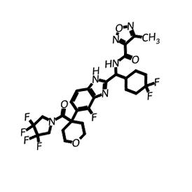 Cc1nonc1C(=O)NC(c1nc2c(F)c(C3(C(=O)N4CC(F)(F)C(F)(F)C4)CCOCC3)ccc2[nH]1)C1CCC(F)(F)CC1